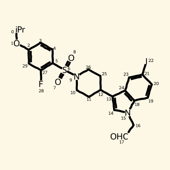 CC(C)Oc1ccc(S(=O)(=O)N2CCC(c3cn(CC=O)c4ccc(I)cc34)CC2)c(F)c1